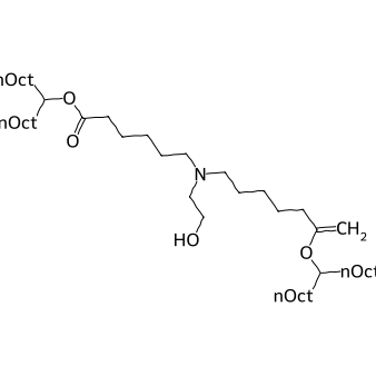 C=C(CCCCCN(CCO)CCCCCC(=O)OC(CCCCCCCC)CCCCCCCC)OC(CCCCCCCC)CCCCCCCC